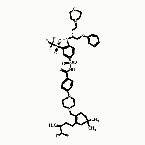 C=C(CCC1=C(CN2CCN(c3ccc(C(=O)NS(=O)(=O)c4ccc(N[C@H](CCN5CCOCC5)CSc5ccccc5)c(S(=O)(=O)C(F)(F)F)c4)cc3)CC2)CCC(C)(C)C1)C(F)F